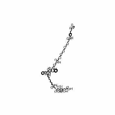 O=C(O)CC[C@H](NC(=O)N[C@@H](CCC(=O)NCCCCCCCC(=O)N[C@@H](Cc1ccccc1)C(=O)N[C@@H](Cc1ccccc1)C(=O)NCCOCCNC(=O)CCOCCOCCOCCOCCOCCC(=O)Nc1ccc(CCC(=O)N2CCC2=O)cc1)C(=O)O)C(=O)O